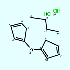 C1=CC[C]([Zr][C]2=CC=CC2)=C1.CCCC.Cl.Cl